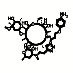 CC[C@H]1OC(O)[C@H](C)[C@@H](O[C@H]2C[C@@](C)(OC)[C@@H](O)[C@H](C)O2)[C@H](C)[C@@H](O[C@@H]2O[C@H](C)C[C@H](N(C)CCc3cn(CCCOc4ccc(N)cc4)nn3)[C@H]2O)[C@](C)(O)C[C@@H](C)CN(C)[C@H](C)[C@@H](O)[C@]1(C)O